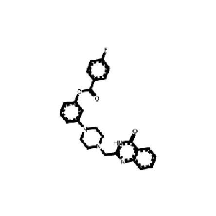 O=C(Oc1cccc(N2CCN(Cc3nc4ccccc4c(=O)[nH]3)CC2)c1)c1ccc(F)cc1